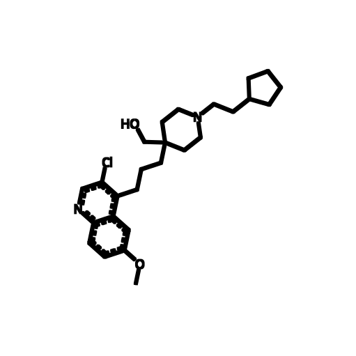 COc1ccc2ncc(Cl)c(CCCC3(CO)CCN(CCC4CCCC4)CC3)c2c1